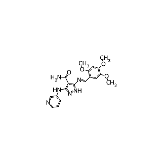 COc1cc(OC)c(OC)cc1C=Nc1[nH]nc(Nc2cccnc2)c1C(N)=O